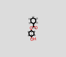 O=C(OC1CCC(O)CC1)C1CCCCC1